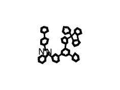 c1ccc(-c2ccc(-c3nc(-c4cccc(-c5cc(-c6ccccc6)cc(-c6cccc(C7(c8ccccc8)c8ccccc8-c8ccccc87)c6)c5)c4)c4ccccc4n3)cc2)cc1